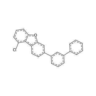 Clc1cccc2oc3cc(-c4cccc(-c5ccccc5)c4)ccc3c12